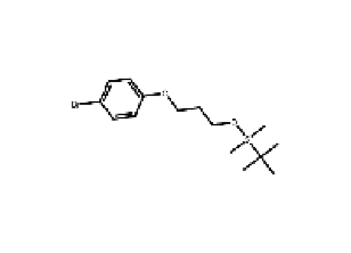 CC(C)(C)[Si](C)(C)OCCCOc1ccc(Br)cc1